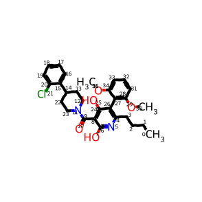 CCCCc1nc(O)c(C(=O)N2CCC(c3ccccc3Cl)CC2)c(O)c1-c1c(OC)cccc1OC